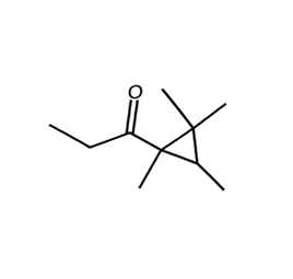 CCC(=O)C1(C)C(C)C1(C)C